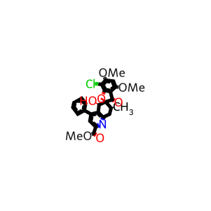 COC(=O)c1cc(-c2ccccc2)c2c(n1)C[C@@H](C)[C@]1(Oc3c(Cl)c(OC)cc(OC)c3C1=O)[C@H]2O